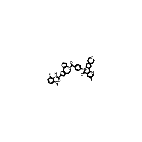 COc1cccc(F)c1NC(=O)c1cc2c(s1)-c1sccc1N(C(=O)c1ccc(NC(=O)c3cc(C)cnc3C3CCC4(CCOCC4)C3)cc1)CC2